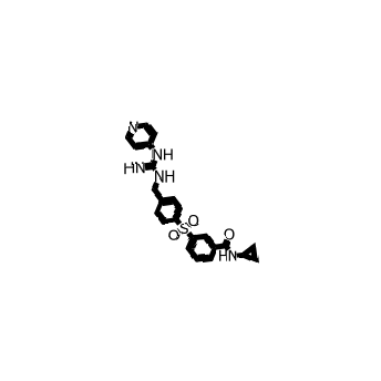 N=C(NCc1ccc(S(=O)(=O)c2cccc(C(=O)NC3CC3)c2)cc1)Nc1ccncc1